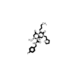 CCCC[C@H]1C(=O)N(CC2CCCO2)C[C@H]2N1C(=O)CN(C)N2C(=O)NCc1ccc(F)cc1